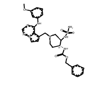 COc1cccc(Nc2ncnn3ccc(CN4CC[C@@H](NC(=O)OCc5ccccc5)C(NS(N)(=O)=O)C4)c23)c1